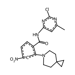 Cc1cc(NC(=O)c2ccc([N+](=O)[O-])cc2N2CCC3(CC2)CC3)nc(Cl)n1